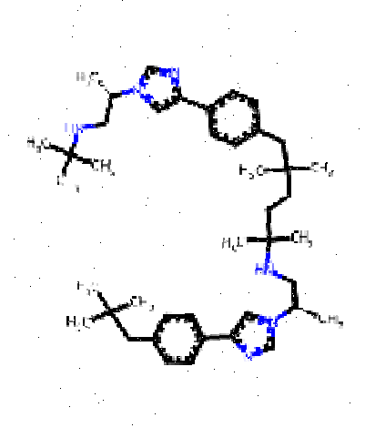 C[C@H](CNC(C)(C)CCC(C)(C)Cc1ccc(-c2cn([C@@H](C)CNC(C)(C)C)cn2)cc1)n1cnc(-c2ccc(CC(C)(C)C)cc2)c1